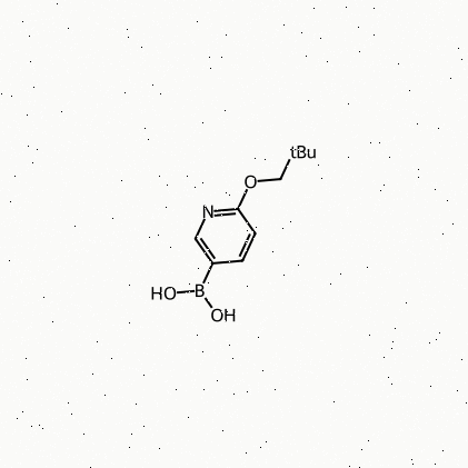 CC(C)(C)COc1ccc(B(O)O)cn1